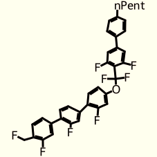 CCCCCc1ccc(-c2cc(F)c(C(F)(F)Oc3ccc(-c4ccc(-c5ccc(CF)c(F)c5)c(F)c4)c(F)c3)c(F)c2)cc1